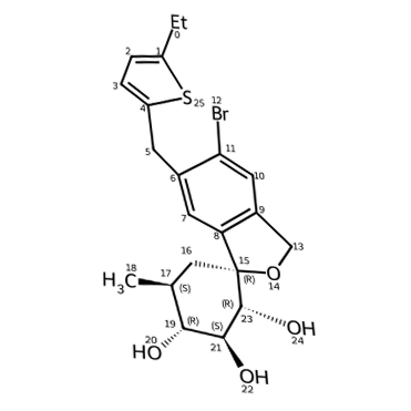 CCc1ccc(Cc2cc3c(cc2Br)CO[C@]32C[C@H](C)[C@@H](O)[C@H](O)[C@H]2O)s1